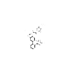 CCCCCCC(C(=O)N1CC(OC)C[C@H]1C(=O)O)n1cnc2cc(-c3ccccc3-c3nn[nH]n3)ccc21